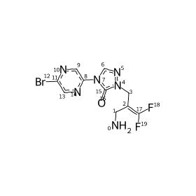 NCC(Cn1ncn(-c2cnc(Br)cn2)c1=O)=C(F)F